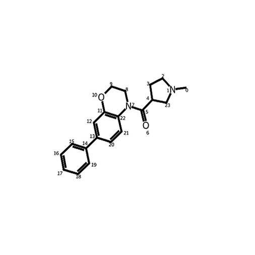 CN1CCC(C(=O)N2CCOc3cc(-c4ccccc4)ccc32)C1